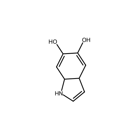 OC1=CC2C=CNC2C=C1O